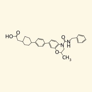 CC1CN(C(=O)NCc2ccccc2)c2ccc(-c3ccc(C4CCC(CC(=O)O)CC4)cc3)cc2O1